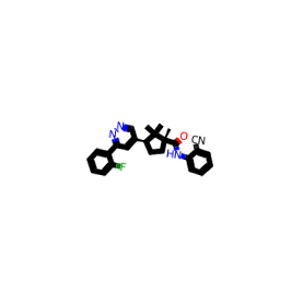 CC1(C)[C@H](c2cnnc(-c3ccccc3F)c2)CC[C@@]1(C)C(=O)Nc1ccccc1C#N